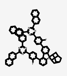 Fc1cc(-c2nc(-c3ccc4ccccc4c3)nc(-c3ccc4ccccc4c3)n2)ccc1-c1ccc2c(c1)-c1c(-c3ccc(-c4nc(-c5ccc6ccccc6c5)nc(-c5ccc6ccccc6c5)n4)cc3F)cccc1[C@@]21C2CC3CC4CC1C42C3